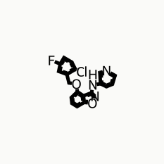 Fc1ccc(Cl)c(COc2cccc3onc(Nc4cccnc4)c23)c1